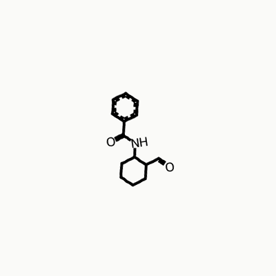 O=CC1CCCCC1NC(=O)c1ccccc1